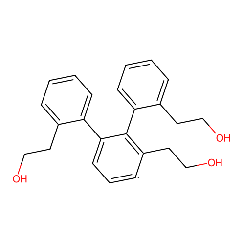 OCCc1[c]ccc(-c2ccccc2CCO)c1-c1ccccc1CCO